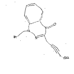 CC(C)n1nc(C#CC(C)(C)C)c(=O)c2ccccc21